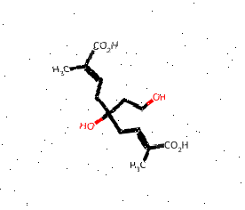 CC(=CCC(O)(CC=C(C)C(=O)O)CCO)C(=O)O